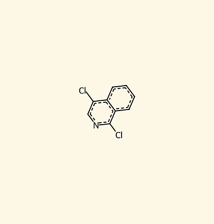 Clc1cnc(Cl)c2ccccc12